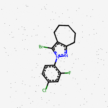 Fc1cc(Cl)ccc1-n1nc2c(c1Br)CCCCC2